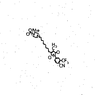 COC(=O)N1CCN(CCCCCCCCC2=C(C)C(=O)N(c3ccc(C#N)c(C(F)(F)F)c3)C2=O)CC1